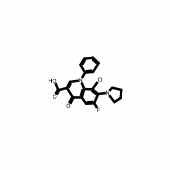 O=C(O)c1cn(-c2ccccc2)c2c(Cl)c(N3CCCC3)c(F)cc2c1=O